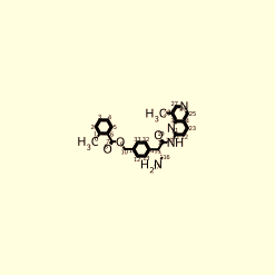 Cc1ccccc1C(=O)OCc1ccc([C@@H](CN)C(=O)Nc2ccc3cncc(C)c3n2)cc1